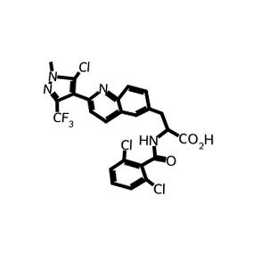 Cn1nc(C(F)(F)F)c(-c2ccc3cc(CC(NC(=O)c4c(Cl)cccc4Cl)C(=O)O)ccc3n2)c1Cl